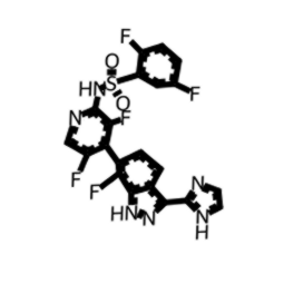 O=S(=O)(Nc1ncc(F)c(-c2ccc3c(-c4ncc[nH]4)n[nH]c3c2F)c1F)c1cc(F)ccc1F